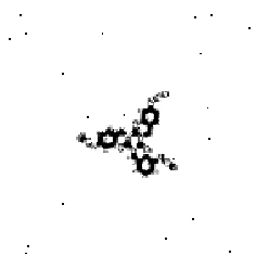 O=C=NC1CCC(Cn2c(=O)n(CC3CCC(N=C=O)CC3)c(=O)n(CC3CCCC(N=C=O)C3)c2=O)CC1